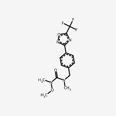 CON(C)C(=O)N(C)Cc1ccc(-c2noc(C(F)(F)F)n2)cc1